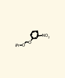 CC(C)OCOc1cccc([N+](=O)[O-])c1